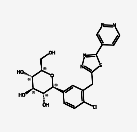 OC[C@H]1O[C@@H](c2ccc(Cl)c(Cc3nnc(-c4ccnnc4)s3)c2)[C@H](O)[C@@H](O)[C@@H]1O